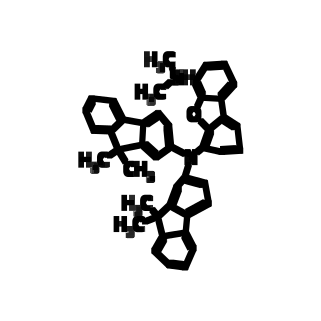 C[SiH](C)c1cccc2c1oc1c(N(c3ccc4c(c3)C(C)(C)c3ccccc3-4)c3ccc4c(c3)C(C)(C)c3ccccc3-4)cccc12